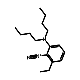 CCCCN(CCCC)c1cccc(CC)c1[N+]#N